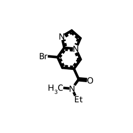 CCN(C)C(=O)c1cc(Br)c2nccn2c1